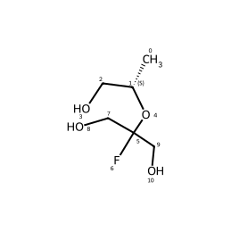 C[C@@H](CO)OC(F)(CO)CO